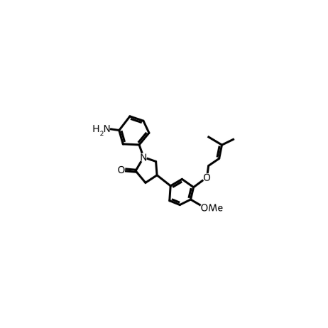 COc1ccc(C2CC(=O)N(c3cccc(N)c3)C2)cc1OCC=C(C)C